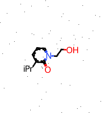 CC(C)c1cccn(CCO)c1=O